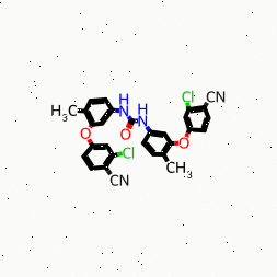 Cc1ccc(NC(=O)Nc2ccc(C)c(Oc3ccc(C#N)c(Cl)c3)c2)cc1Oc1ccc(C#N)c(Cl)c1